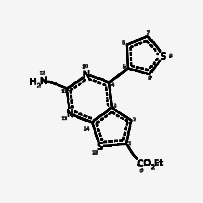 CCOC(=O)c1cc2c(-c3ccsc3)nc(N)nc2s1